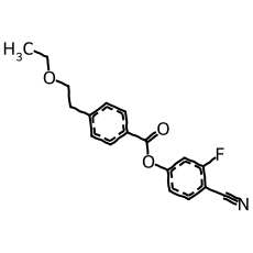 CCOCCc1ccc(C(=O)Oc2ccc(C#N)c(F)c2)cc1